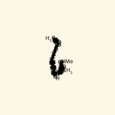 CNC(=O)COc1cc2cc(Nc3nc(N4CCC(c5ccc(OCCCOCCOCCOS(=O)(=O)c6ccc(C)cc6)cc5)CC4)ncc3Cl)ccc2n(C)c1=O